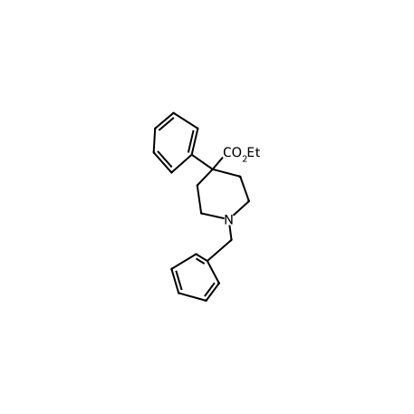 CCOC(=O)C1(c2ccccc2)CCN(Cc2ccccc2)CC1